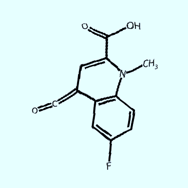 CN1C(C(=O)O)=CC(=C=O)c2cc(F)ccc21